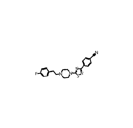 N#Cc1ccc(-c2nsc(N3CCN(CCc4ccc(F)cc4)CC3)n2)cc1